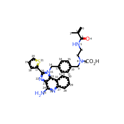 C=C(C)C(=O)NCCN(Cc1ccc(Cn2c(-c3cccs3)nc3c(N)nc4ccccc4c32)cc1)C(=O)O